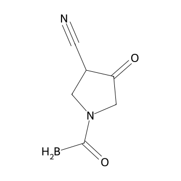 BC(=O)N1CC(=O)C(C#N)C1